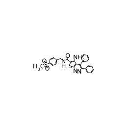 CS(=O)(=O)c1ccc(CNC(=O)c2sc3nnc(-c4ccccc4)c(-c4ccccc4)c3c2N)cc1